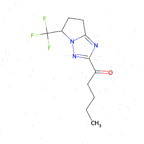 CCCCC(=O)c1nc2n(n1)C(C(F)(F)F)CC2